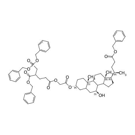 C[C@H](CCC(=O)OCc1ccccc1)[C@H]1CCC2C3C(CC[C@@]21C)[C@@]1(C)CC[C@@H](OC(=O)COC(=O)CCC(CP(=O)(OCc2ccccc2)OCc2ccccc2)C(=O)OCc2ccccc2)CC1C[C@@H]3O